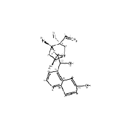 C=C[C@H]1CN2CC[C@H]1C[C@H]2C(O)c1ccnc2ccc(O)cc12